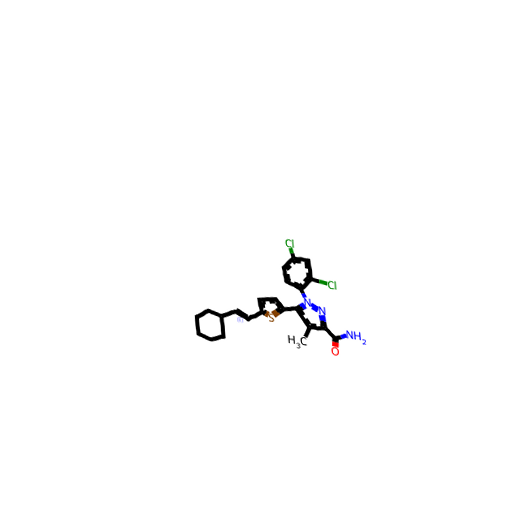 Cc1c(C(N)=O)nn(-c2ccc(Cl)cc2Cl)c1-c1ccc(/C=C/C2CCCCC2)s1